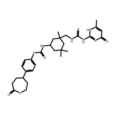 Cc1cc(=O)nc(NC(=O)NCC2(C)CC(NC(=O)Oc3ccc(C4CCOC(=O)CC4)cc3)CC(C)(C)C2)[nH]1